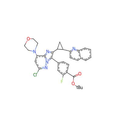 CC(C)(C)OC(=O)c1ccc(-c2c(C3CC3c3ccc4ccccc4n3)nc3c(N4CCOCC4)cc(Cl)nn23)cc1F